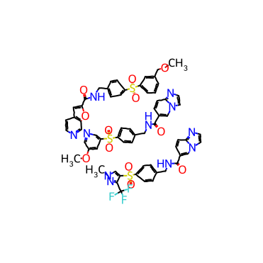 COCc1cccc(S(=O)(=O)c2ccc(CNC(=O)c3cc4ccncc4o3)cc2)c1.COc1cncc(S(=O)(=O)c2ccc(CNC(=O)c3ccc4nccn4c3)cc2)c1.Cn1cc(S(=O)(=O)c2ccc(CNC(=O)c3ccc4nccn4c3)cc2)c(C(F)(F)F)n1